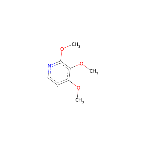 COc1[c]cnc(OC)c1OC